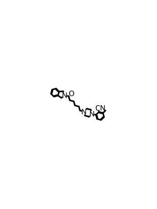 Cc1cccc(N2CCN(CCCCCC(=O)N3Cc4ccccc4C3)CC2)c1C#N